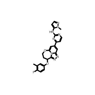 Cc1cc(OC2CCOc3cc(-c4ccnc(Nc5ccnn5C)n4)cc4nnc2n34)ccc1F